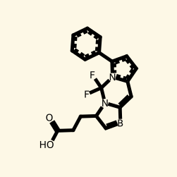 O=C(O)CCC1C=BC2=Cc3ccc(-c4ccccc4)n3C(F)(F)N21